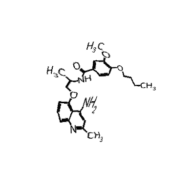 CCCCOc1ccc(C(=O)NC(C)COc2cccc3nc(C)cc(N)c23)cc1OC